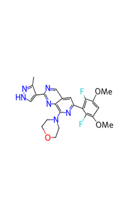 COc1cc(OC)c(F)c(-c2cc3cnc(-c4c[nH]nc4C)nc3c(N3CCOCC3)n2)c1F